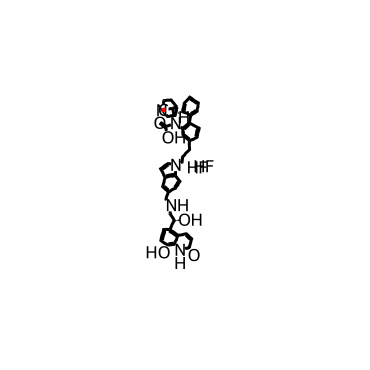 F.F.O=C(O)N(c1cc(CCCn2ccc3cc(CNC[C@H](O)c4ccc(O)c5[nH]c(=O)ccc45)ccc32)ccc1-c1ccccc1)[C@H]1CN2CCC1CC2